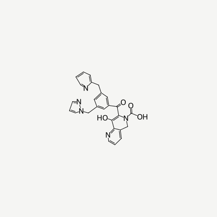 O=C(C1=C(O)c2ncccc2CN1C(=O)O)c1cc(Cc2ccccn2)cc(Cn2cccn2)c1